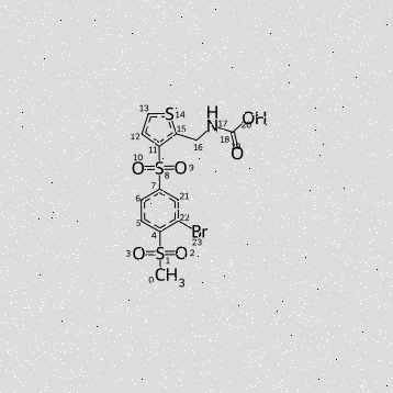 CS(=O)(=O)c1ccc(S(=O)(=O)c2ccsc2CNC(=O)O)cc1Br